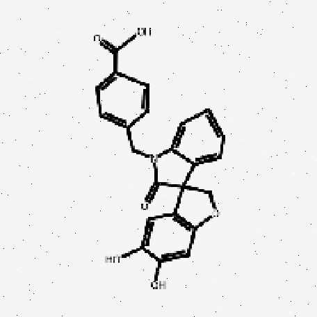 O=C(O)c1ccc(CN2C(=O)C3(COc4cc(O)c(O)cc43)c3ccccc32)cc1